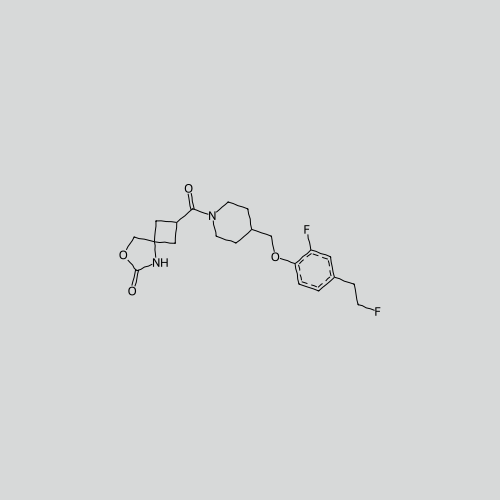 O=C1NC2(CO1)CC(C(=O)N1CCC(COc3ccc(CCF)cc3F)CC1)C2